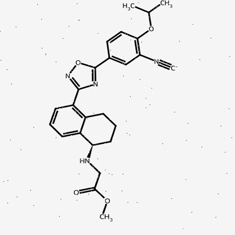 [C-]#[N+]c1cc(-c2nc(-c3cccc4c3CCC[C@H]4NCC(=O)OC)no2)ccc1OC(C)C